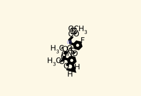 COC(=O)c1c(N(C(=O)OC)S(=O)(=O)c2ccc(F)cc2/C=C\COS(C)(=O)=O)ccc2c1OC[C@@H]1C[C@H]21